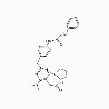 CN(C)c1nc(Cc2ccc(NC(=O)/C=C/c3ccccc3)cc2)nc(N2CCCC2)c1CC(=O)O